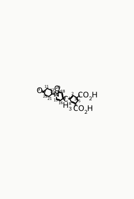 Cc1cc(C(=O)O)cc(C(=O)O)c1.O=C1CCC(n2ccccc2=O)CC1